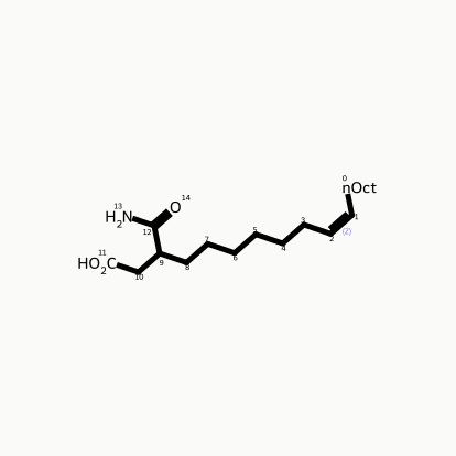 CCCCCCCC/C=C\CCCCCCC(CC(=O)O)C(N)=O